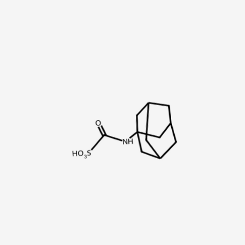 O=C(NC12CC3CC(CC(C3)C1)C2)S(=O)(=O)O